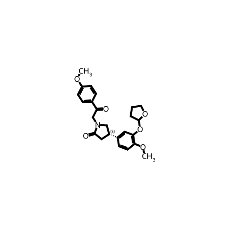 COc1ccc(C(=O)CN2C[C@H](c3ccc(OC)c(OC4CCCO4)c3)CC2=O)cc1